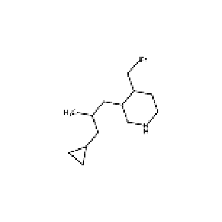 CC(C)CC1CCNCC1CC(C)CC1CC1